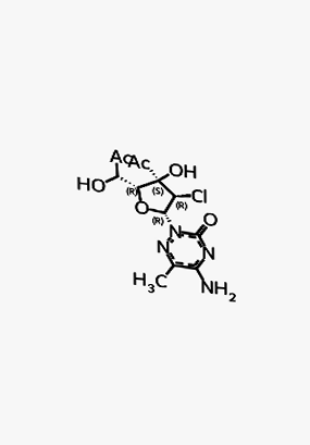 CC(=O)C(O)[C@H]1O[C@@H](n2nc(C)c(N)nc2=O)[C@H](Cl)[C@@]1(O)C(C)=O